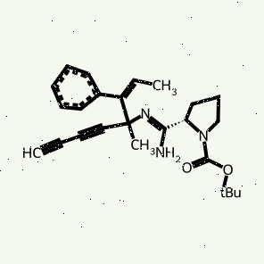 C#CC#CC(C)(/N=C(\N)[C@@H]1CCCN1C(=O)OC(C)(C)C)/C(=C\C)c1ccccc1